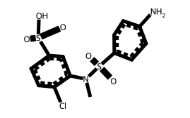 CN(c1cc(S(=O)(=O)O)ccc1Cl)S(=O)(=O)c1ccc(N)cc1